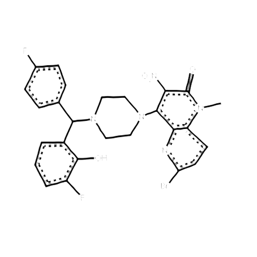 Cn1c(=O)c([N+](=O)[O-])c(N2CCN(C(c3ccc(F)cc3)c3cccc(F)c3O)CC2)c2nc(Br)ccc21